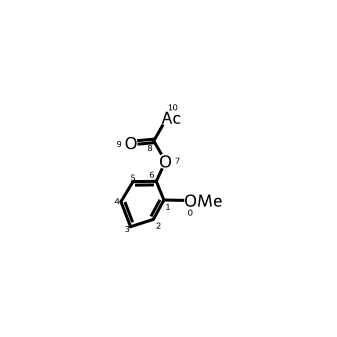 COc1ccccc1OC(=O)C(C)=O